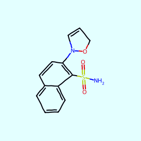 NS(=O)(=O)c1c(N2C=CCO2)ccc2ccccc12